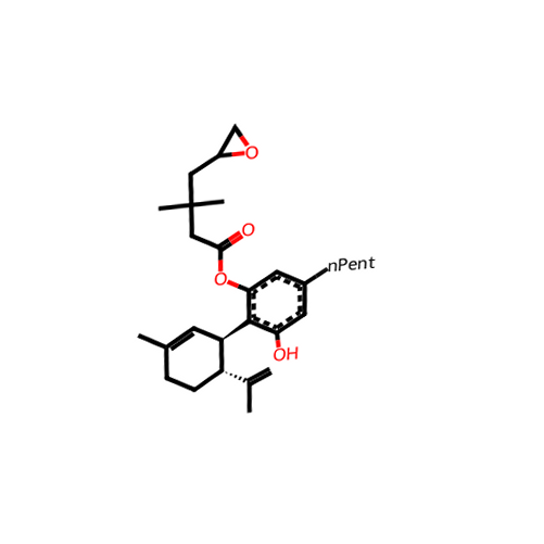 C=C(C)[C@@H]1CCC(C)=C[C@H]1c1c(O)cc(CCCCC)cc1OC(=O)CC(C)(C)CC1CO1